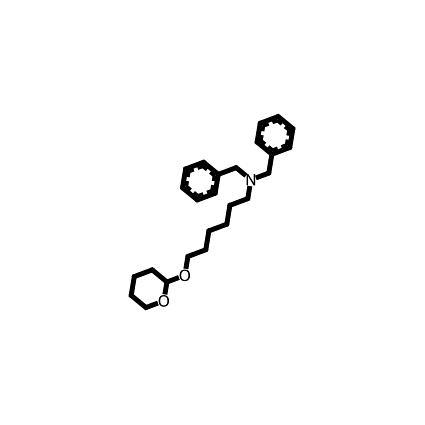 c1ccc(CN(CCCCCCOC2CCCCO2)Cc2ccccc2)cc1